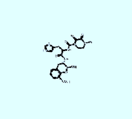 CCN1CCN(C(=O)NC(Cc2c[nH]cn2)C(=O)N[C@H]2Cc3cccc(C(=O)O)c3OB2O)C(=O)C1=O